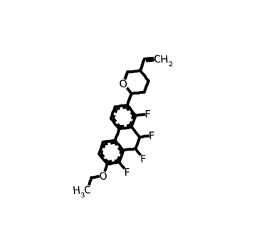 C=CC1CCC(c2ccc3c(c2F)C(F)C(F)c2c-3ccc(OCC)c2F)OC1